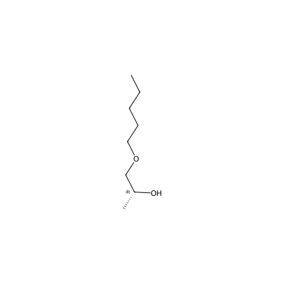 CCCCCOC[C@@H](C)O